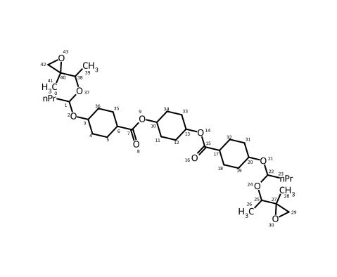 CCCC(OC1CCC(C(=O)OC2CCC(OC(=O)C3CCC(OC(CCC)OC(C)C4(C)CO4)CC3)CC2)CC1)OC(C)C1(C)CO1